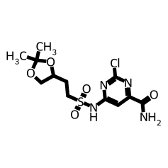 CC1(C)OCC(CCS(=O)(=O)Nc2cc(C(N)=O)nc(Cl)n2)O1